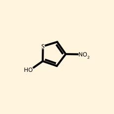 O=[N+]([O-])c1csc(O)c1